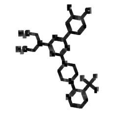 CCN(CC)c1nc(-c2ccc(Cl)c(F)c2)nc(N2CCN(c3ncccc3C(F)(F)F)CC2)n1